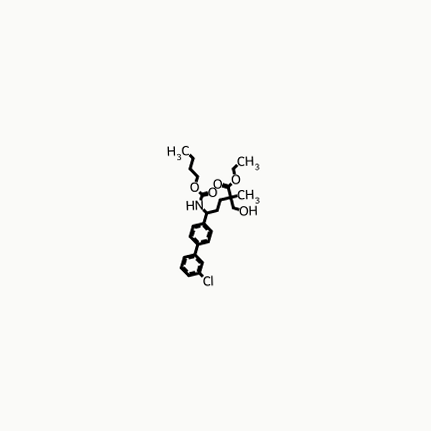 CCCCOC(=O)NC(CCC(C)(CO)C(=O)OCC)c1ccc(-c2cccc(Cl)c2)cc1